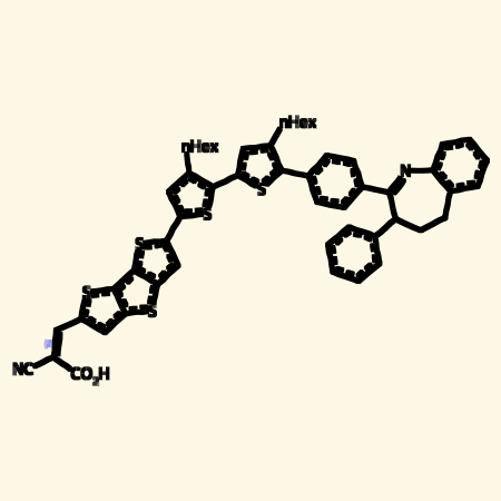 CCCCCCc1cc(-c2sc(-c3cc4sc5cc(/C=C(/C#N)C(=O)O)sc5c4s3)cc2CCCCCC)sc1-c1ccc(C2=Nc3ccccc3CCC2c2ccccc2)cc1